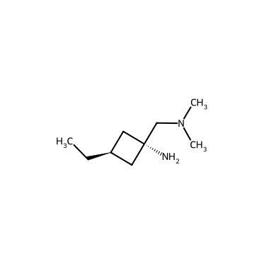 CC[C@H]1C[C@@](N)(CN(C)C)C1